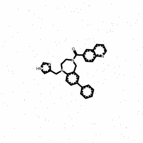 O=C(c1ccc2ncccc2c1)N1CCN(Cc2c[nH]cn2)c2ccc(-c3ccccc3)cc2C1